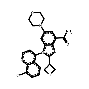 NC(=O)c1cc(N2CCOCC2)cc2c1nc(C1COC1)n2-c1ccnc2c(Cl)cccc12